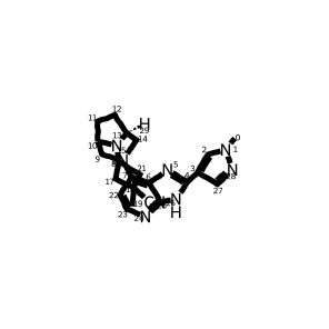 Cn1cc(-c2nc3c(N4CC5CC[C@@H](C4)N5C4CC(C)(C#N)C4)ccnc3[nH]2)cn1